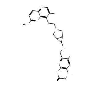 COc1ccc2ncc(F)c(CCN3CC4C(C3)C4NCc3nc4c(cc3Cl)OCC(=O)N4)c2n1